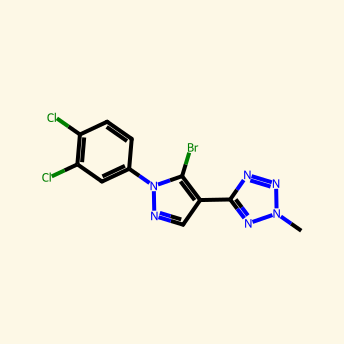 Cn1nnc(-c2cnn(-c3ccc(Cl)c(Cl)c3)c2Br)n1